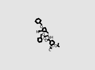 [C-]#[N+]c1cc(C(=O)N[C@@H](Cc2ccc(OCc3ccccc3)c(C#N)c2)C(=O)OCc2ccccc2)ccc1OC(C)C